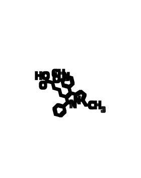 CCc1ccc2c(-c3ccnc(OC)c3)c(CCCCC(=O)O)c(-c3ccccc3)nn12